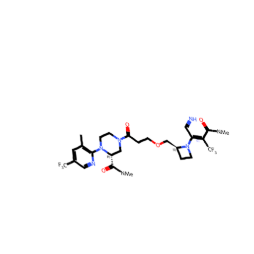 CNC(=O)/C(=C(\C=N)N1CC[C@H]1COCCC(=O)N1CCN(c2ncc(C(F)(F)F)cc2C)[C@@H](C(=O)NC)C1)C(F)(F)F